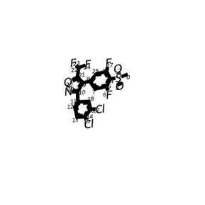 CS(=O)(=O)c1c(F)cc(-c2c(-c3ccc(Cl)c(Cl)c3)noc2C(F)F)cc1F